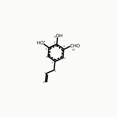 C=CCc1cc(O)c(O)c(C=O)c1